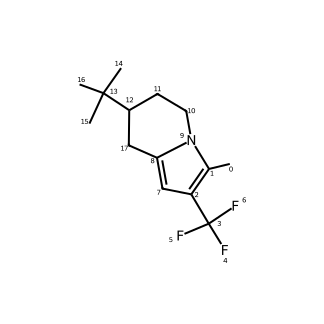 Cc1c(C(F)(F)F)cc2n1CCC(C(C)(C)C)C2